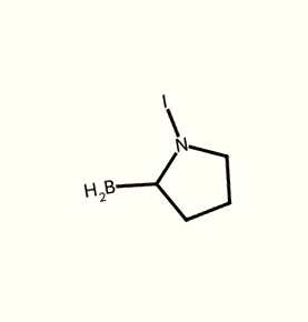 BC1CCCN1I